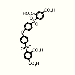 O=C(O)c1ccc(S(=O)(=O)c2ccc(Oc3ccc(S(=O)(=O)c4ccc(C(=O)O)cc4C(=O)O)cc3)cc2)c(C(=O)O)c1